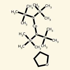 C1CCOC1.C[Si](C)(C)[N]([Co][N]([Si](C)(C)C)[Si](C)(C)C)[Si](C)(C)C